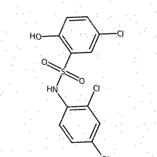 O=S(=O)(Nc1ccc(C(F)(F)F)cc1Cl)c1cc(Cl)ccc1O